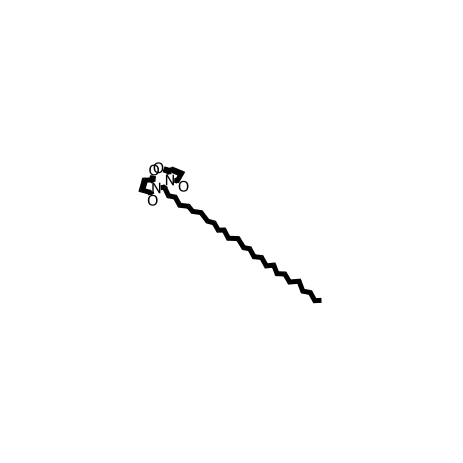 CCCCCCCCCCCCCCCCCCCCCCCCCCC(N1C(=O)C=CC1=O)N1C(=O)C=CC1=O